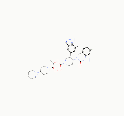 Cc1cc(C2CN(C(=O)OC(C)C(=O)N3CCC(N4CCCCC4)CC3)CCC2N2Cc3ccc(F)cc3NC2=O)cc2cn[nH]c12